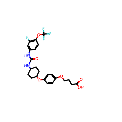 O=C(O)CCCOc1ccc(OC2CCC(NC(=O)Nc3ccc(OC(F)(F)F)c(F)c3)CC2)cc1